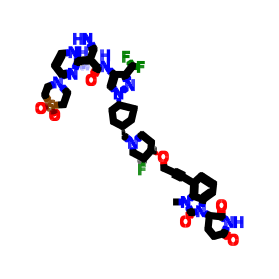 Cn1c(=O)n(C2CCC(=O)NC2=O)c2cccc(C#CCO[C@H]3CCN(C[C@H]4CC[C@H](n5cc(NC(=O)/C(C=N)=C6\N=C(N7CCS(=O)(=O)CC7)C=CN6)c(C(F)F)n5)CC4)C[C@H]3F)c21